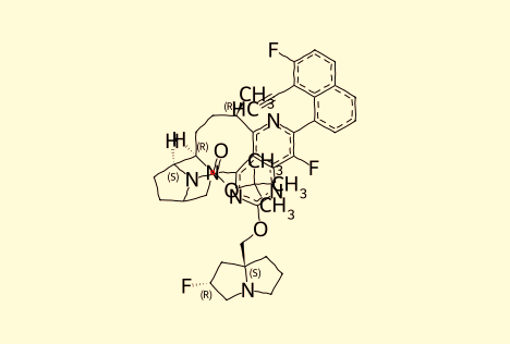 C#Cc1c(F)ccc2cccc(-c3nc4c5c(nc(OC[C@@]67CCCN6C[C@H](F)C7)nc5c3F)N3CC5CC[C@@H]([C@H]3CC[C@H]4C)N5C(=O)OC(C)(C)C)c12